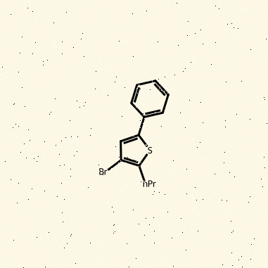 CCCc1sc(-c2ccccc2)cc1Br